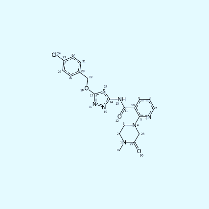 CN1CCN(c2ncccc2C(=O)Nc2nnc(OCc3ccc(Cl)cc3)s2)CC1=O